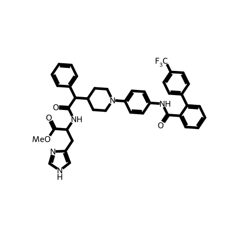 COC(=O)C(Cc1c[nH]cn1)NC(=O)C(c1ccccc1)C1CCN(c2ccc(NC(=O)c3ccccc3-c3ccc(C(F)(F)F)cc3)cc2)CC1